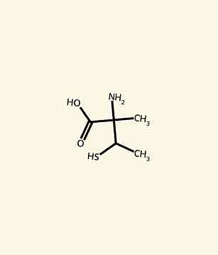 CC(S)C(C)(N)C(=O)O